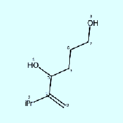 C=C(C(C)C)C(O)CCCO